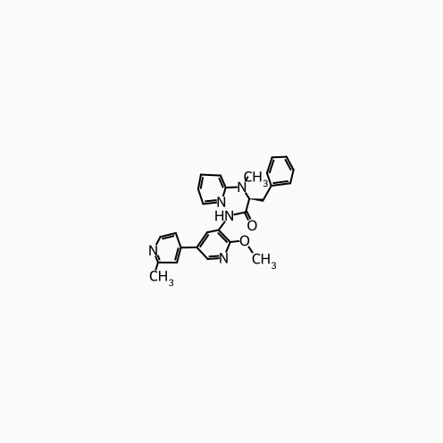 COc1ncc(-c2ccnc(C)c2)cc1NC(=O)[C@H](Cc1ccccc1)N(C)c1ccccn1